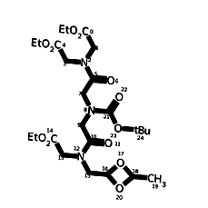 CCOC(=O)CN(CC(=O)OCC)C(=O)CN(CC(=O)N(CC(=O)OCC)CC1OC(C)O1)C(=O)OC(C)(C)C